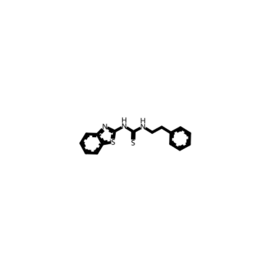 S=C(NCCc1ccccc1)Nc1nc2ccccc2s1